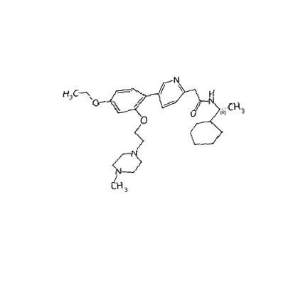 CCOc1ccc(-c2ccc(CC(=O)N[C@H](C)C3CCCCC3)nc2)c(OCCN2CCN(C)CC2)c1